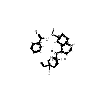 C=C[C@@H]1CN2CCC1C[C@@H]2[C@H](O)c1ccnc2ccc(OC)cc12.O=C(O)c1ccccc1